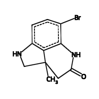 CC12CNc3ccc(Br)c(c31)NC(=O)C2